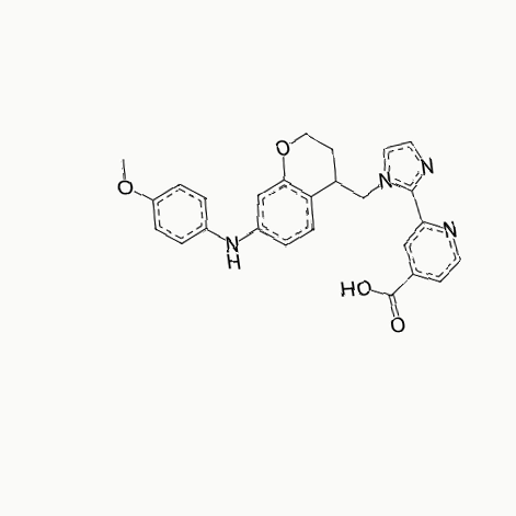 COc1ccc(Nc2ccc3c(c2)OCCC3Cn2ccnc2-c2cc(C(=O)O)ccn2)cc1